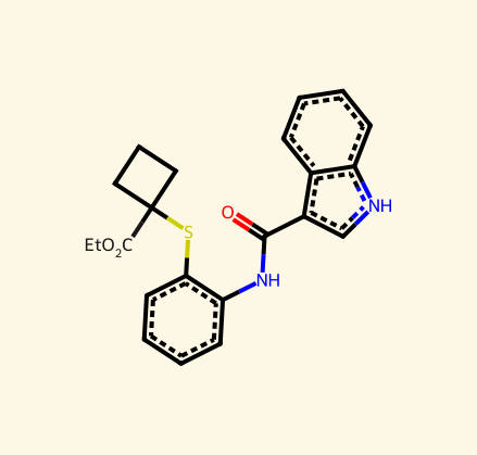 CCOC(=O)C1(Sc2ccccc2NC(=O)c2c[nH]c3ccccc23)CCC1